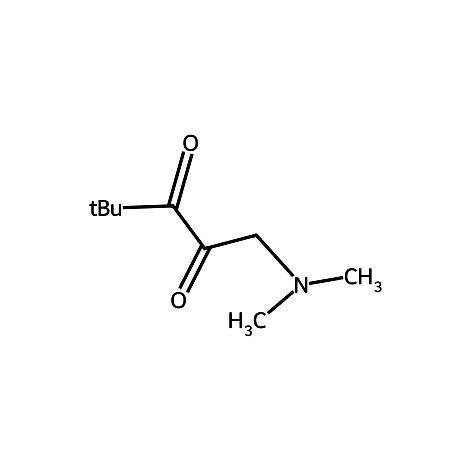 CN(C)CC(=O)C(=O)C(C)(C)C